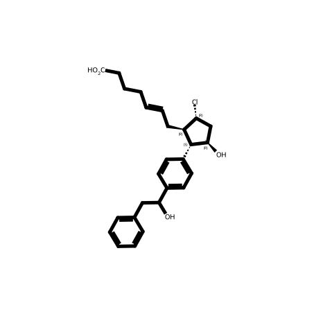 O=C(O)CCCC=CC[C@@H]1[C@@H](c2ccc(C(O)Cc3ccccc3)cc2)[C@H](O)C[C@H]1Cl